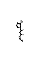 C/C(=C\C(=O)N=[N+]=[N-])c1ccc(F)c(Br)c1